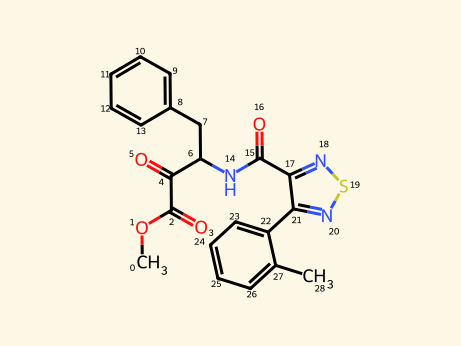 COC(=O)C(=O)C(Cc1ccccc1)NC(=O)c1nsnc1-c1ccccc1C